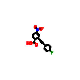 O=C(O)c1ccc([N+](=O)[O-])cc1C#Cc1ccc(F)cc1